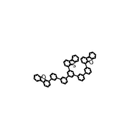 c1cc(-c2cccc(-c3cccc4c3oc3ccccc34)c2)cc(-c2cc(-c3cccc(-c4cccc(-c5cccc6c5oc5ccccc56)c4)c3)cc(-c3cccc4c3sc3ccccc34)c2)c1